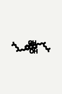 CC(C)=CCCC(C)CCCc1ccc2c(O)c3cc(CCCC(C)CCC=C(C)C)ccc3c(O)c2c1